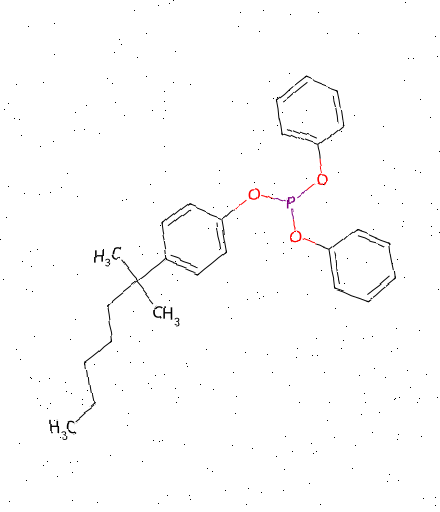 CCCCCC(C)(C)c1ccc(OP(Oc2ccccc2)Oc2ccccc2)cc1